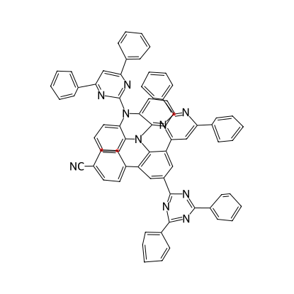 N#Cc1ccc(-c2cc(-c3nc(-c4ccccc4)nc(-c4ccccc4)n3)cc(-c3cc(-c4ccccc4)nc(-c4ccccc4)n3)c2N2c3ccccc3N(c3nc(-c4ccccc4)cc(-c4ccccc4)n3)c3ccccc32)cc1